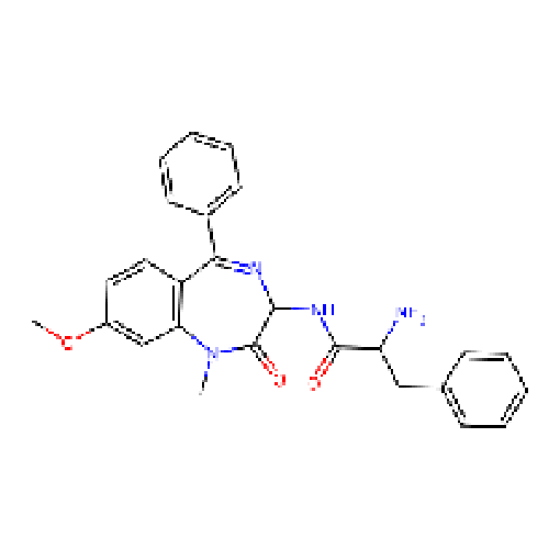 COc1ccc2c(c1)N(C)C(=O)C(NC(=O)C(N)Cc1ccccc1)N=C2c1ccccc1